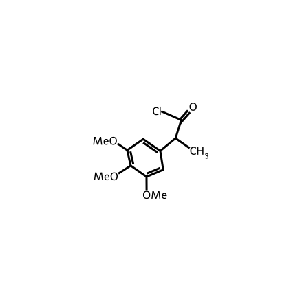 COc1cc(C(C)C(=O)Cl)cc(OC)c1OC